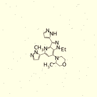 CCn1nc(-c2ccn[nH]2)c2nc(-c3ccnn3C)cc(N3CCOC[C@H]3C)c21